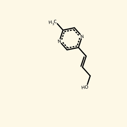 Cc1cnc(C=CCO)cn1